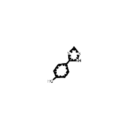 Oc1ccc(-c2n[c]n[nH]2)cc1